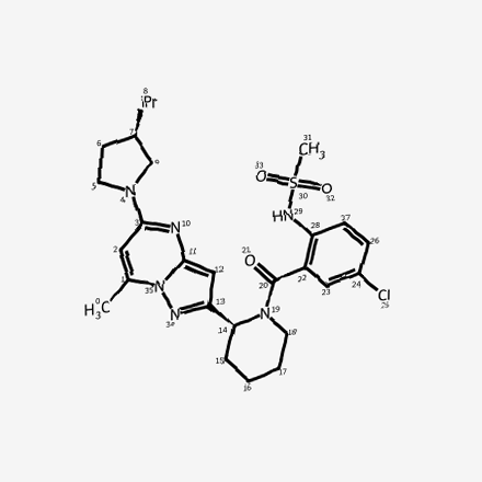 Cc1cc(N2CC[C@@H](C(C)C)C2)nc2cc([C@@H]3CCCCN3C(=O)c3cc(Cl)ccc3NS(C)(=O)=O)nn12